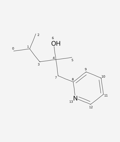 CC(C)CC(C)(O)Cc1ccccn1